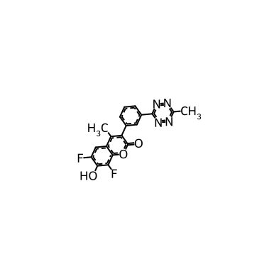 Cc1nnc(-c2cccc(-c3c(C)c4cc(F)c(O)c(F)c4oc3=O)c2)nn1